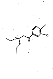 CCOC(CNc1ccc(C)c(Cl)c1)OCC